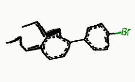 C/C=c1/cc(-c2ccc(Br)cc2)cc/c1=C/CC